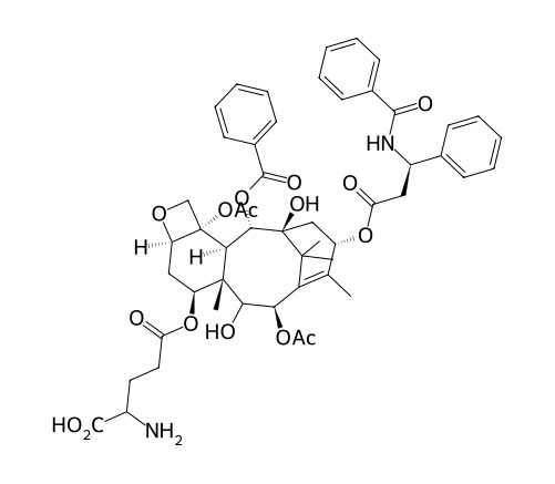 CC(=O)O[C@@H]1C2=C(C)[C@@H](OC(=O)C[C@@H](NC(=O)c3ccccc3)c3ccccc3)C[C@@](O)([C@@H](OC(=O)c3ccccc3)[C@@H]3[C@]4(OC(C)=O)CO[C@@H]4C[C@H](OC(=O)CCC(N)C(=O)O)[C@@]3(C)C1O)C2(C)C